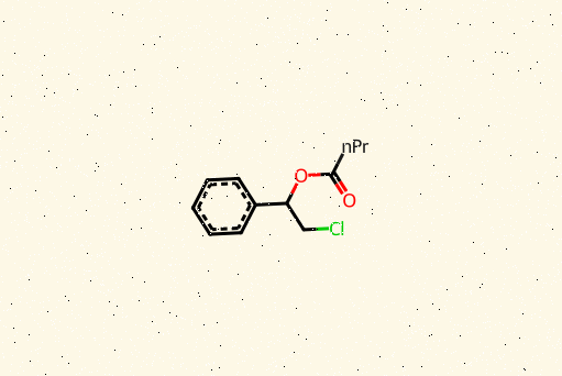 CCCC(=O)OC(CCl)c1ccccc1